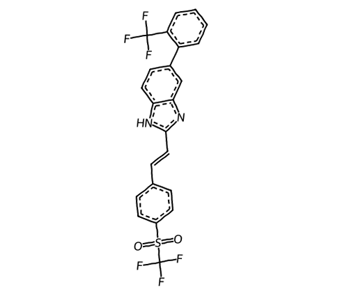 O=S(=O)(c1ccc(C=Cc2nc3cc(-c4ccccc4C(F)(F)F)ccc3[nH]2)cc1)C(F)(F)F